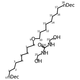 CCCCCCCCCCCCCCCCCCOCCCCCCCCCCCCCCCCCC.O=C(NCO)NCO